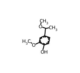 COc1cc(C(C)OC)ccc1O